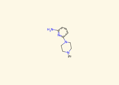 [CH2]C(C)N1CCN(c2cccc(N)n2)CC1